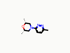 Cc1ccc(N2C[C@@H](C)O[C@@H](C)C2)nn1